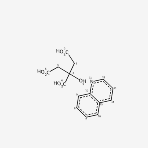 O=C(O)CC(O)(CC(=O)O)C(=O)O.c1ccc2ncccc2c1